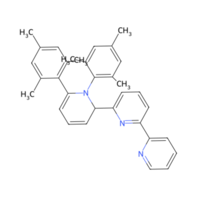 Cc1cc(C)c(C2=CC=CC(c3cccc(-c4ccccn4)n3)N2c2c(C)cc(C)cc2C)c(C)c1